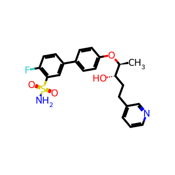 C[C@H](Oc1ccc(-c2ccc(F)c(S(N)(=O)=O)c2)cc1)[C@@H](O)CCc1cccnc1